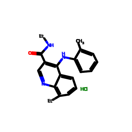 CCNC(=O)c1cnc2c(CC)cccc2c1Nc1ccccc1C.Cl